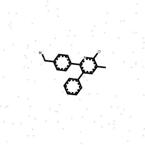 Cc1cc(-c2ccccc2)c(-c2ccc(CBr)cc2)nc1Cl